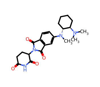 CN(C)[C@@H]1CCCC[C@H]1N(C)c1ccc2c(c1)C(=O)N(C1CCC(=O)NC1=O)C2=O